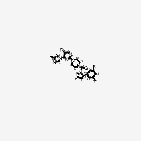 Cc1ncn(-c2nc(N3CCN(C(=O)N4N=CCC4c4cc(F)cc(F)c4)CC3)ncc2F)n1